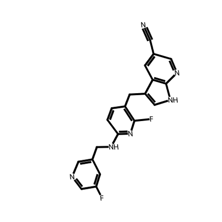 N#Cc1cnc2[nH]cc(Cc3ccc(NCc4cncc(F)c4)nc3F)c2c1